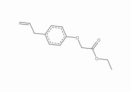 C=CCc1ccc(OCC(=O)OCC)cc1